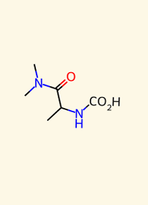 CC(NC(=O)O)C(=O)N(C)C